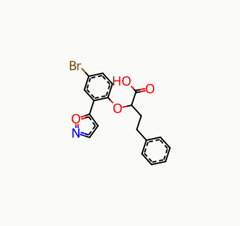 O=C(O)C(CCc1ccccc1)Oc1ccc(Br)cc1-c1ccno1